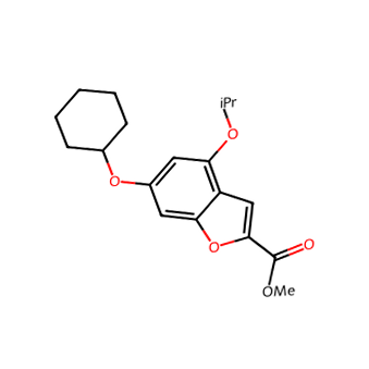 COC(=O)c1cc2c(OC(C)C)cc(OC3CCCCC3)cc2o1